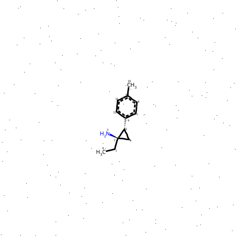 CC[C@@]1(N)C[C@H]1c1ccc(C)cc1